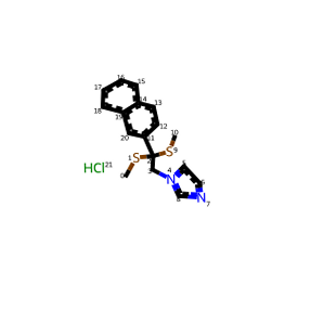 CSC(Cn1ccnc1)(SC)c1ccc2ccccc2c1.Cl